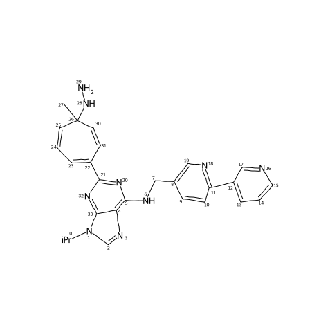 CC(C)n1cnc2c(NCc3ccc(-c4cccnc4)nc3)nc(C3=CC=CC(C)(NN)C=C3)nc21